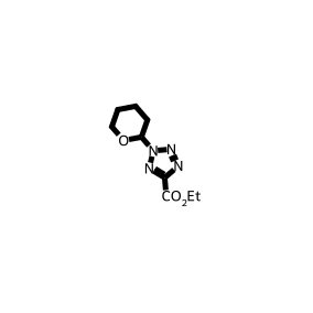 CCOC(=O)c1nnn(C2CCCCO2)n1